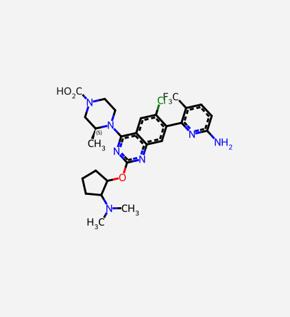 C[C@H]1CN(C(=O)O)CCN1c1nc(OC2CCCC2N(C)C)nc2cc(-c3nc(N)ccc3C(F)(F)F)c(Cl)cc12